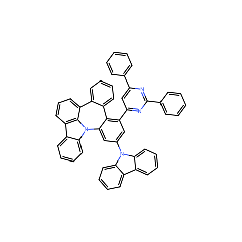 c1ccc(-c2cc(-c3cc(-n4c5ccccc5c5ccccc54)cc4c3-c3ccccc3-c3cccc5c6ccccc6n-4c35)nc(-c3ccccc3)n2)cc1